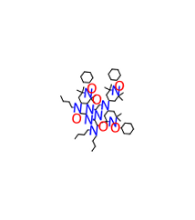 CCCCN(CCCC)C(=O)c1nc(C(=O)N(CCCC)C2CC(C)(C)N(OC3CCCCC3)C(C)(C)C2)nc(C(=O)N(C2CC(C)(C)N(OC3CCCCC3)C(C)(C)C2)C2CC(C)(C)N(OC3CCCCC3)C(C)(C)C2)n1